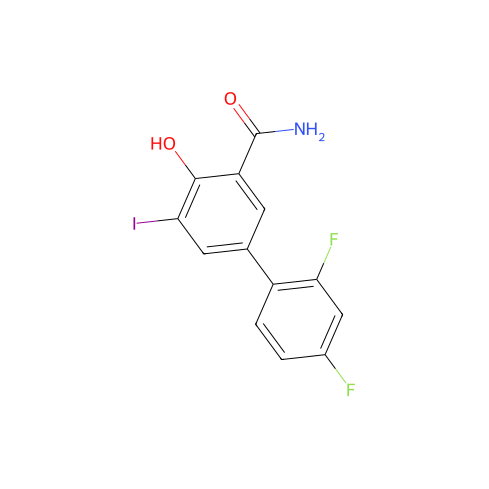 NC(=O)c1cc(-c2ccc(F)cc2F)cc(I)c1O